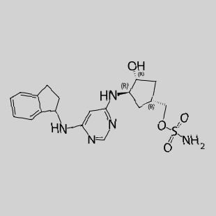 NS(=O)(=O)OC[C@H]1C[C@@H](O)[C@H](Nc2cc(NC3CCc4ccccc43)ncn2)C1